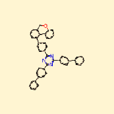 c1ccc(-c2ccc(-c3nc(-c4ccc(-c5ccccc5)cc4)nc(-c4ccc(-c5cccc6c5-c5ccccc5OC6)cc4)n3)cc2)cc1